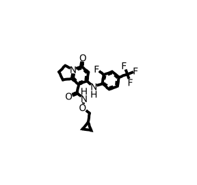 O=C(NOCC1CC1)c1c(Nc2ccc(C(F)(F)F)cc2F)cc(=O)n2c1CCC2